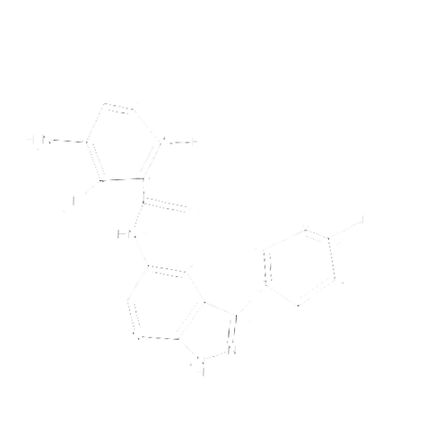 Nc1ccc(F)c(C(=O)Nc2cnc3[nH]nc(-c4ccc(F)cc4)c3c2)c1F